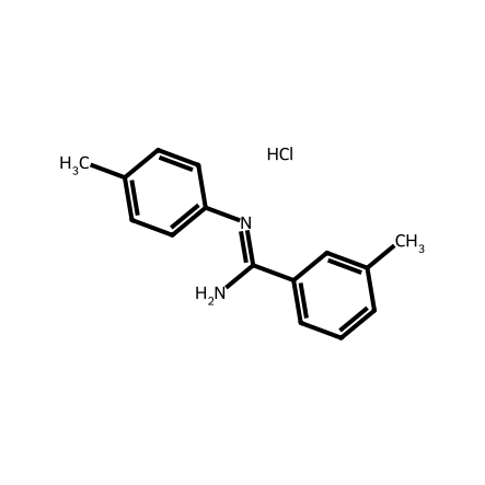 Cc1ccc(/N=C(\N)c2cccc(C)c2)cc1.Cl